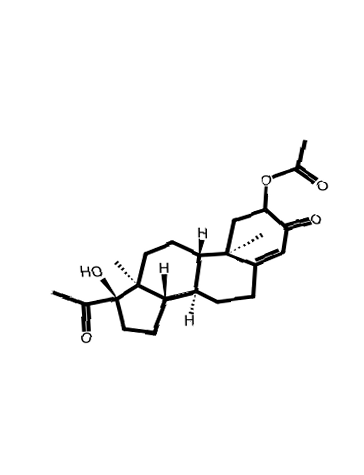 CC(=O)OC1C[C@@]2(C)C(=CC1=O)CC[C@@H]1[C@@H]2CC[C@@]2(C)[C@H]1CC[C@]2(O)C(C)=O